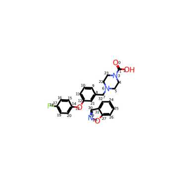 O=C(O)N1CCN(Cc2cccc(Oc3ccc(F)cc3)c2)CC1.c1ccc2oncc2c1